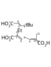 C=C(CC)C(=O)O.CC(C)(C)C=CC(=O)O.CC=C(C)C(=O)O